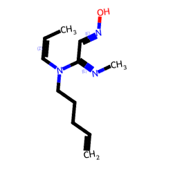 C=CCCCN(/C=C\C)C(/C=N/O)=N/C